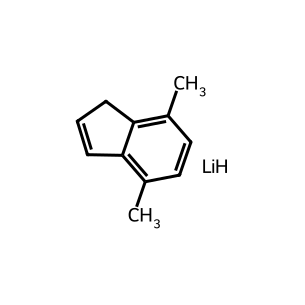 Cc1ccc(C)c2c1C=CC2.[LiH]